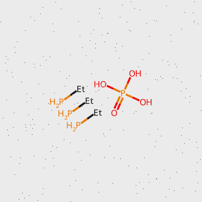 CCP.CCP.CCP.O=P(O)(O)O